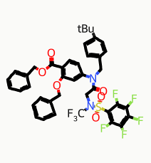 CC(C)(C)c1ccc(CN(C(=O)CN(C(F)(F)F)S(=O)(=O)c2c(F)c(F)c(F)c(F)c2F)c2ccc(C(=O)OCc3ccccc3)c(OCc3ccccc3)c2)cc1